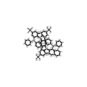 CC(C)(C)c1cc(N(c2ccccc2)c2ccccc2)c2c(c1)c1cc(C(C)(C)C)cc3c4cc5c(nc4n2c31)c1cc(C(C)(C)C)cc2c3cc4ccccc4c(N(c4ccccc4)c4ccccc4)c3n5c21